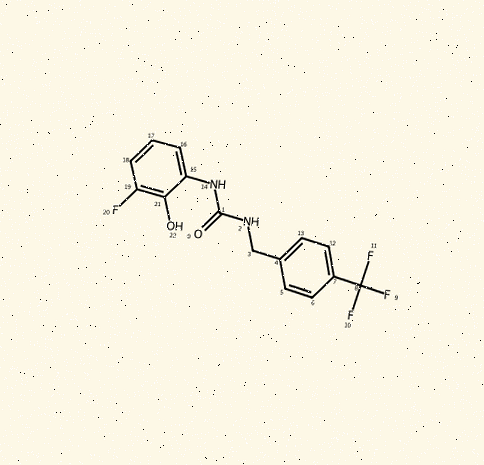 O=C(NCc1ccc(C(F)(F)F)cc1)Nc1cccc(F)c1O